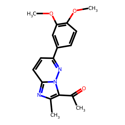 COc1ccc(-c2ccc3nc(C)c(C(C)=O)n3n2)cc1OC